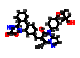 CCCc1c(Cc2ccc(-c3ccccc3-c3noc(=O)[nH]3)cc2)c(=O)n(C2CCC(OC(C)C(C)(C)O)CC2)c2ccnn12